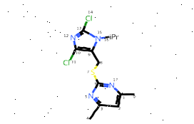 Cc1cc(C)nc(SCc2c(Cl)nc(Cl)n2C(C)C)n1